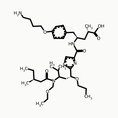 CCCO[C@H](CC(C(C)C)N(COCC)C(=O)C[C@@H](C)CC)c1nc(C(=O)N[C@@H](Cc2ccc(OCCCCN)cc2)C[C@H](C)C(=O)O)cs1